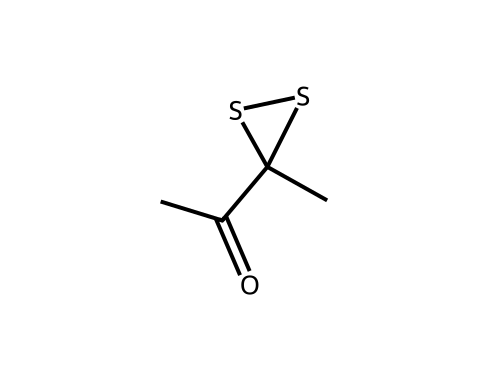 CC(=O)C1(C)SS1